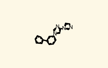 c1ccc(-c2cccc(-n3cnc(-n4ccnc4)c3)c2)cc1